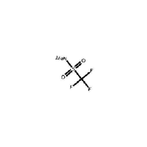 [CH2]NS(=O)(=O)C(F)(F)F